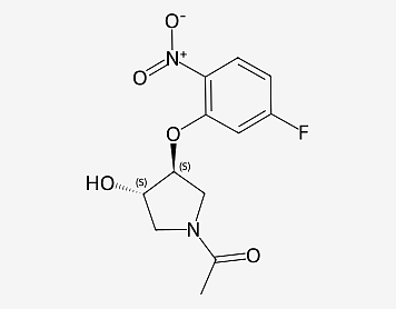 CC(=O)N1C[C@H](Oc2cc(F)ccc2[N+](=O)[O-])[C@@H](O)C1